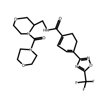 O=C(NCC1COCCN1C(=O)N1CCOCC1)C1=CC=C(c2noc(C(F)(F)F)n2)CC1